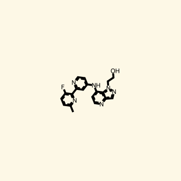 Cc1ccc(F)c(-c2cc(Nc3ccnc4cnn(CCO)c34)ccn2)n1